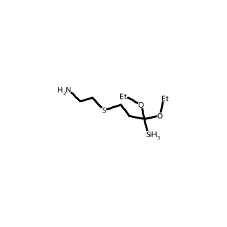 CCOC([SiH3])(CCSCCN)OCC